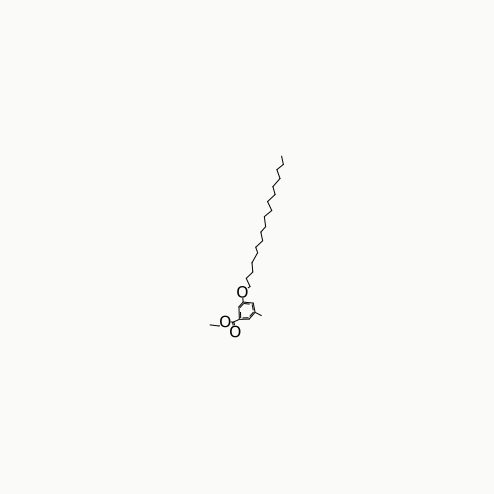 CCCCCCCCCCCCCCCCCCOc1cc(C)cc(C(=O)OCC)c1